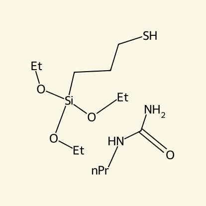 CCO[Si](CCCS)(OCC)OCC.[CH2]CCNC(N)=O